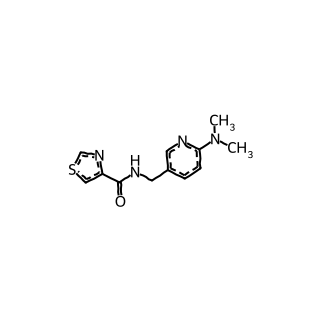 CN(C)c1ccc(CNC(=O)c2cscn2)cn1